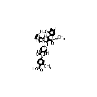 CCOC(=O)C1=C(CN2CC[C@@H]3C(=O)N(c4ccc(C(=O)O)c(C)c4)C[C@@H]3C2)NC(c2nccs2)=N[C@H]1c1ccc(F)c(F)c1C